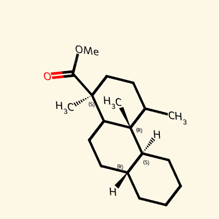 COC(=O)[C@@]1(C)CCC(C)[C@@]2(C)C1CC[C@H]1CCCC[C@@H]12